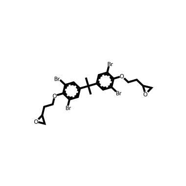 CC(C)(c1cc(Br)c(OCCC2CO2)c(Br)c1)c1cc(Br)c(OCCC2CO2)c(Br)c1